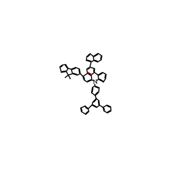 CC1(C)c2ccccc2-c2ccc(-c3ccc(N(c4ccc(-c5cc(-c6ccccc6)cc(-c6ccccc6)c5)cc4)c4ccccc4-c4cccc(-c5cccc6ccccc56)c4)cc3)cc21